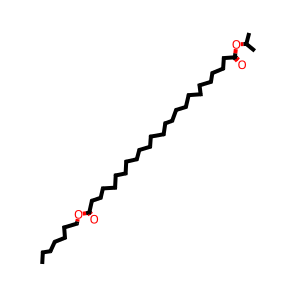 CCCCCCCOC(=O)CCCCCCCCCCCCCCCCCCCCCCCC(=O)OC(C)C